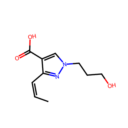 C/C=C\c1nn(CCCO)cc1C(=O)O